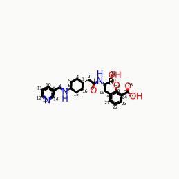 O=C(C[C@H]1CC[C@H](NCc2cccnc2)CC1)N[C@H]1Cc2cccc(C(=O)O)c2OB1O